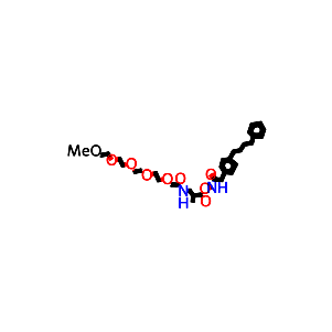 COCCOCCOCCOCCOCC(=O)NCC(C)C(=O)ONC(=O)Cc1ccc(CCCCc2ccccc2)cc1